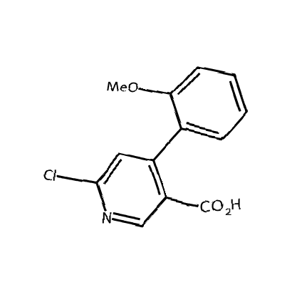 COc1ccccc1-c1cc(Cl)ncc1C(=O)O